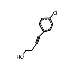 OCCC#Cc1ccc(Cl)cc1